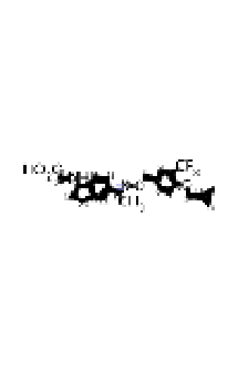 C/C(=N\OCc1ccc(OCC2CC2)c(C(F)(F)F)c1)c1ccc2c(c1)CCC2NCC(=O)O